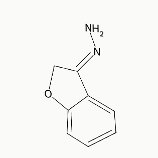 NN=C1COc2ccccc21